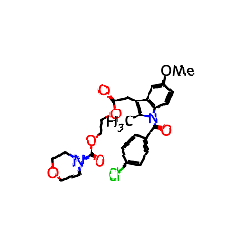 COc1ccc2c(c1)c(CC(=O)OCCOC(=O)N1CCOCC1)c(C)n2C(=O)c1ccc(Cl)cc1